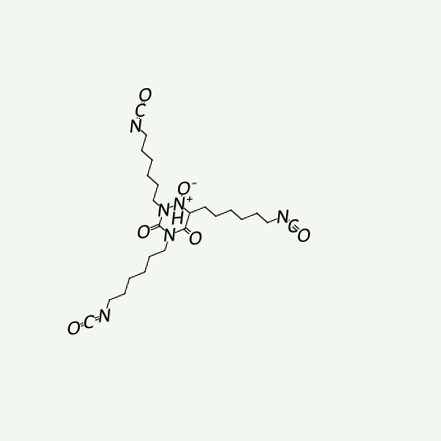 O=C=NCCCCCCC1C(=O)N(CCCCCCN=C=O)C(=O)N(CCCCCCN=C=O)[NH+]1[O-]